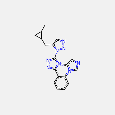 CC1CC1Cc1cnnn1-c1nnc2c3ccccc3n3cncc3n12